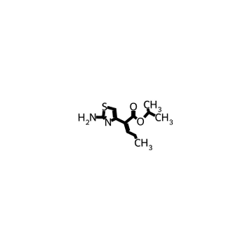 CCC=C(C(=O)OC(C)C)c1csc(N)n1